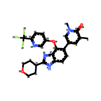 Cc1cc(-c2ccc3[nH]c(C4CCOCC4)nc3c2Oc2ccc(C(F)(F)F)nc2)cn(C)c1=O